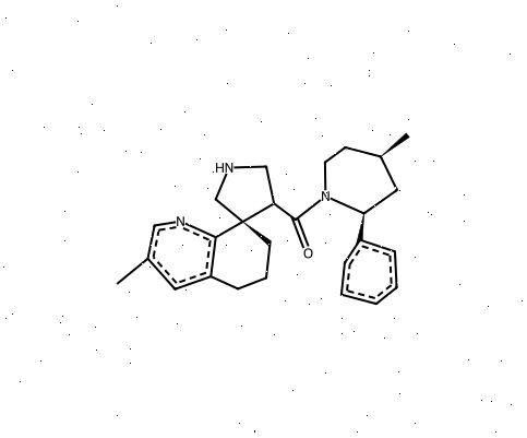 Cc1cnc2c(c1)CCC[C@]21CNCC1C(=O)N1CC[C@@H](C)C[C@H]1c1ccccc1